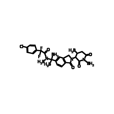 BC1CC(=O)N(B)C(=O)C1N1Cc2cc(C(B)(B)N(B)C(=O)C(F)(F)c3ccc(Cl)cc3)ccc2C1=O